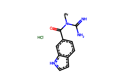 CC(C)N(C(=N)N)C(=O)c1ccc2cc[nH]c2c1.Cl